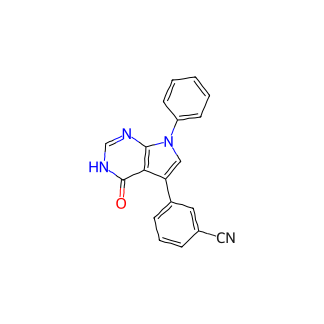 N#Cc1cccc(-c2cn(-c3ccccc3)c3nc[nH]c(=O)c23)c1